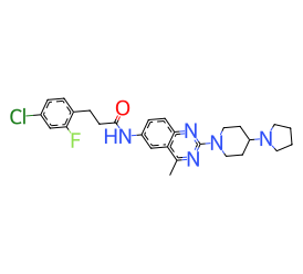 Cc1nc(N2CCC(N3CCCC3)CC2)nc2ccc(NC(=O)CCc3ccc(Cl)cc3F)cc12